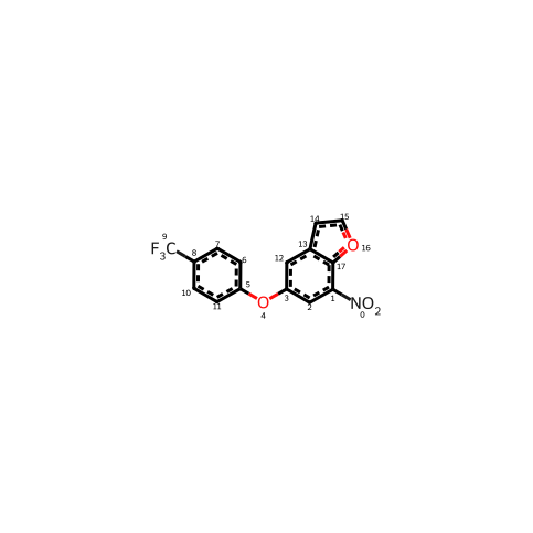 O=[N+]([O-])c1cc(Oc2ccc(C(F)(F)F)cc2)cc2ccoc12